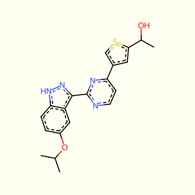 CC(C)Oc1ccc2[nH]nc(-c3nccc(-c4csc(C(C)O)c4)n3)c2c1